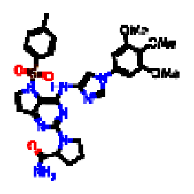 COc1cc(-n2cnc(Nc3nc(N4CCC[C@H]4C(N)=O)nc4ccn(S(=O)(=O)c5ccc(C)cc5)c34)c2)cc(OC)c1OC